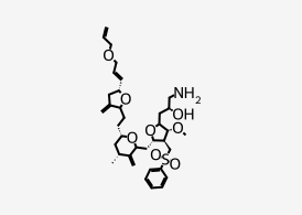 C=CCOC/C=C/[C@H]1CC(=C)C(CC[C@H]2C[C@@H](C)C(=C)C(C[C@@H]3OC(C[C@H](O)CN)[C@H](OC)[C@H]3CS(=O)(=O)c3ccccc3)O2)O1